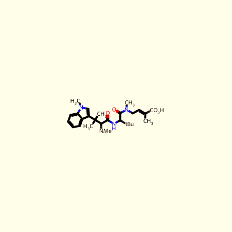 CNC(C(=O)NC(C(=O)N(C)C/C=C(\C)C(=O)O)C(C)(C)C)C(C)(C)c1cn(C)c2ccccc12